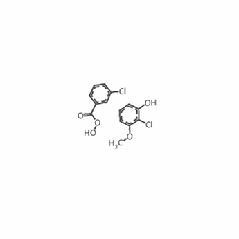 COc1cccc(O)c1Cl.O=C(OO)c1cccc(Cl)c1